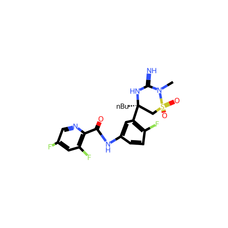 CCCC[C@@]1(c2cc(NC(=O)c3ncc(F)cc3F)ccc2F)CS(=O)(=O)N(C)C(=N)N1